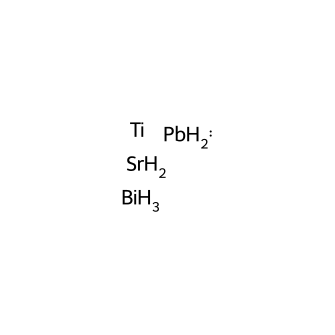 [BiH3].[PbH2].[SrH2].[Ti]